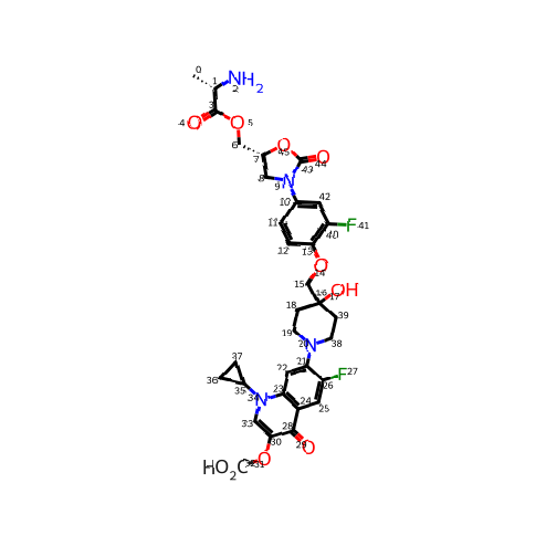 C[C@H](N)C(=O)OC[C@H]1CN(c2ccc(OCC3(O)CCN(c4cc5c(cc4F)c(=O)c(OC(=O)O)cn5C4CC4)CC3)c(F)c2)C(=O)O1